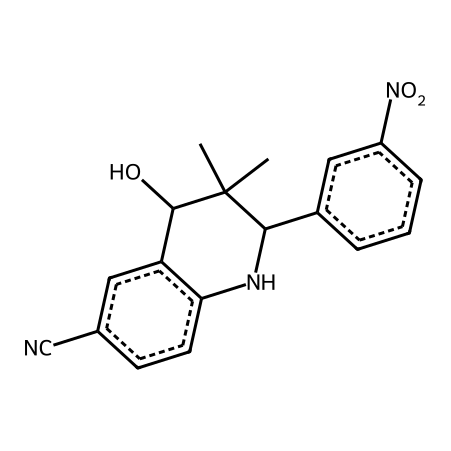 CC1(C)C(O)c2cc(C#N)ccc2NC1c1cccc([N+](=O)[O-])c1